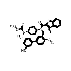 CCOc1ccc(-c2cccc(C#N)c2)cc1CN(C(=O)c1sc2ccccc2c1Cl)[C@H]1CC[C@H](N(C)C(=O)OC(C)(C)C)CC1